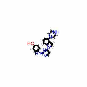 O[C@H]1CC[C@H](Nc2nccc(-n3ccc4c(N5CCNCC5)cccc43)n2)CC1